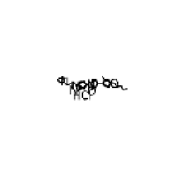 CCCCOc1ccc(-c2ccn(-c3ccc4c(cnn4CCN4CCCC4)c3)c(=O)c2)c(C)c1.Cl